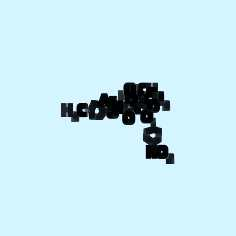 CC(=O)N(Oc1ccc(C)cc1)C1C(=O)N2C(C(=O)OCc3ccc([N+](=O)[O-])cc3)C(C)(C)[S+]([O-])[C@H]12